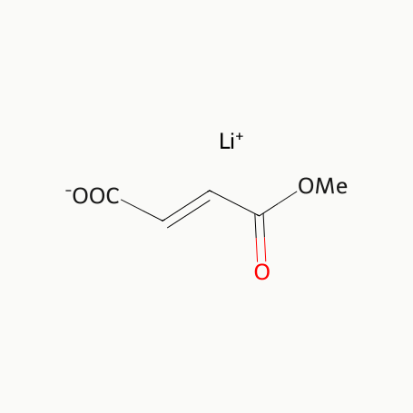 COC(=O)C=CC(=O)[O-].[Li+]